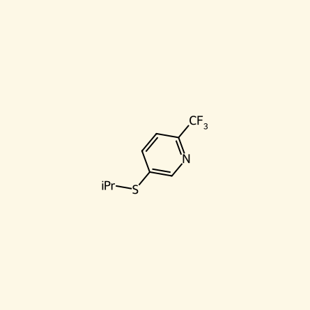 CC(C)Sc1ccc(C(F)(F)F)nc1